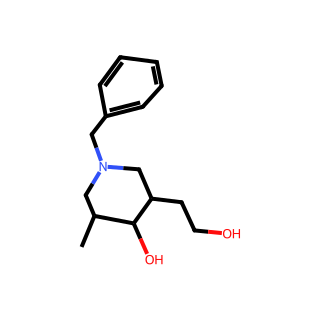 CC1CN(Cc2ccccc2)CC(CCO)C1O